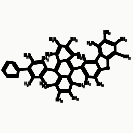 Bc1c(B)c(-c2c3c(B)c(B)c(B)c(B)c3c(-c3c(B)c(B)c4oc5c(B)c(B)c(B)c(B)c5c4c3B)c3c(B)c(B)c(B)c(B)c23)c(B)c(B)c1-c1ccccc1